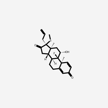 C=CC[C@@]1(SC)C(=O)C[C@H]2[C@@H]3CCC4=CC(=O)C=C[C@]4(C)[C@@]3(F)[C@@H](O)C[C@@]21C